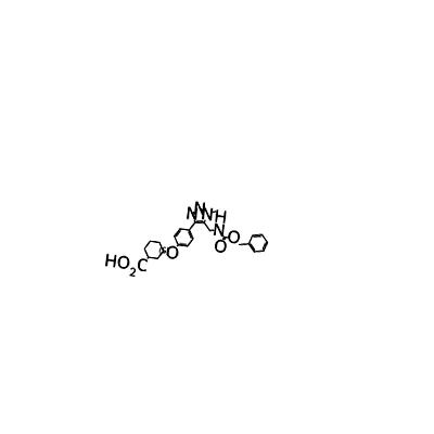 Cn1nnc(-c2ccc(O[C@H]3CCCC(C(=O)O)C3)cc2)c1CNC(=O)OCc1ccccc1